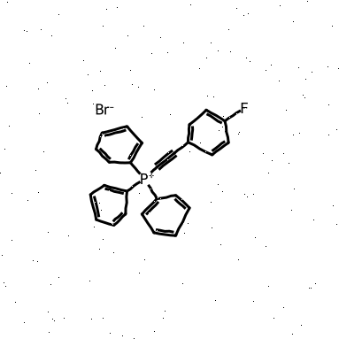 Fc1ccc(C#C[P+](c2ccccc2)(c2ccccc2)c2ccccc2)cc1.[Br-]